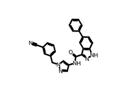 N#Cc1cccc(Cn2cc(NC(=O)c3n[nH]c4ccc(-c5ccccc5)cc34)cn2)c1